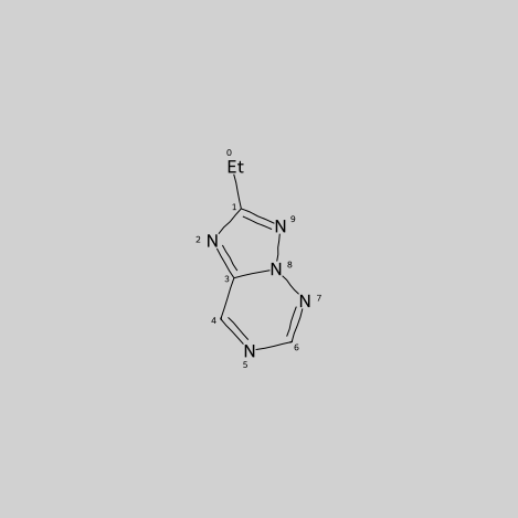 CCc1nc2cncnn2n1